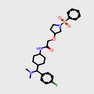 CN(C)C(c1ccc(F)cc1)C1CCC(NC(=O)COC2CCN(S(=O)(=O)c3ccccc3)C2)CC1